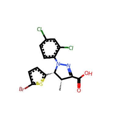 C[C@H]1C(C(=O)O)=NN(c2ccc(Cl)cc2Cl)[C@H]1c1ccc(Br)s1